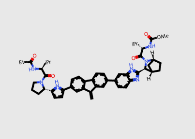 C=C1c2cc(-c3ccc4nc([C@@H]5[C@H]6CC[C@H](C6)N5C(=O)[C@@H](NC(=O)OC)C(C)C)[nH]c4c3)ccc2-c2ccc(-c3ccc([C@@H]4CCCN4C(=O)[C@@H](NC(=O)CC)C(C)C)[nH]3)cc21